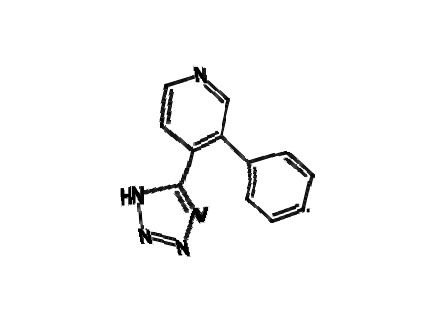 [c]1ccc(-c2cnccc2-c2nnn[nH]2)cc1